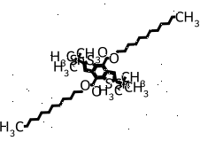 CCCCCCCCCCCCOC(=O)c1c2c[c]([Sn]([CH3])([CH3])[CH3])sc2c(C(=O)OCCCCCCCCCCCC)c2c[c]([Sn]([CH3])([CH3])[CH3])sc12